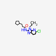 C=CCn1c(NC(=O)CCC2CCCC2)nc2ccc(Cl)nc21